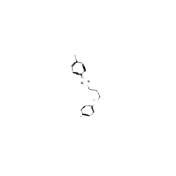 Cc1ccc(S(=O)(=O)CC[C@@H](C)S(=O)(=O)c2ccc(C)cc2)cc1